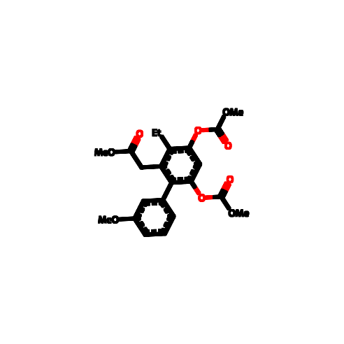 CCc1c(OC(=O)OC)cc(OC(=O)OC)c(-c2cccc(OC)c2)c1CC(=O)OC